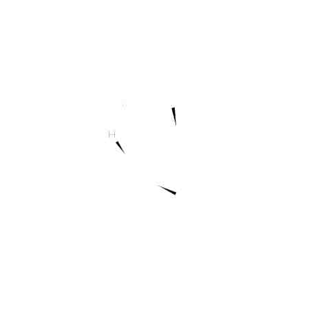 CCC[C@@]12CC1[C@@]1(C)[C@H](CCCC1(C)C)C2=O